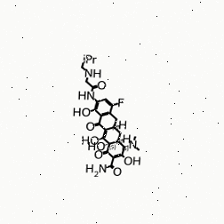 CC(C)CNCC(=O)Nc1cc(F)c2c(c1O)C(=O)C1=C(O)[C@]3(O)C(=O)C(C(N)=O)=C(O)[C@@H](N(C)C)[C@@H]3C[C@@H]1C2